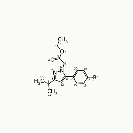 CCOC(=O)Cn1nc(C(C)C)cc1-c1ccc(Br)cc1